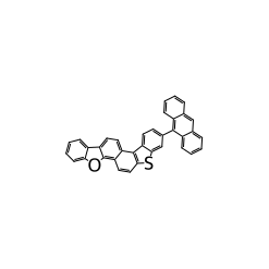 c1ccc2c(-c3ccc4c(c3)sc3ccc5c(ccc6c7ccccc7oc65)c34)c3ccccc3cc2c1